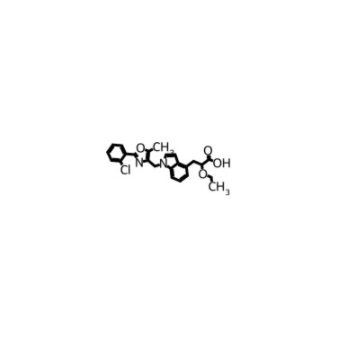 CCOC(Cc1cccc2c1ccn2Cc1nc(-c2ccccc2Cl)oc1C)C(=O)O